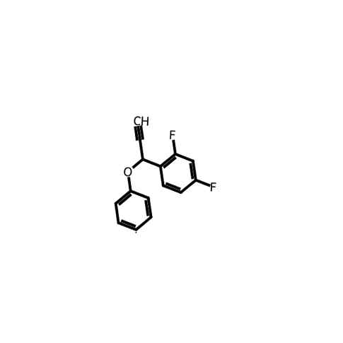 C#CC(Oc1cc[c]cc1)c1ccc(F)cc1F